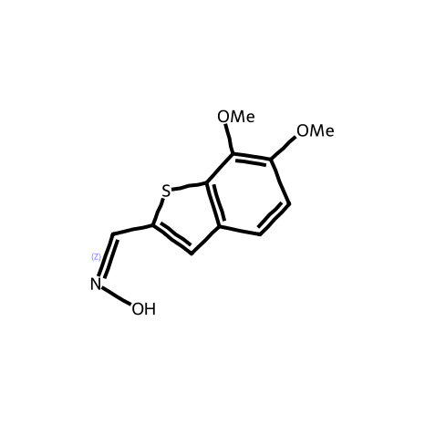 COc1ccc2cc(/C=N\O)sc2c1OC